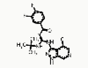 CC(C)(C)N/C(=N/C(=O)c1ccc(F)c(F)c1)Nc1n[nH]c2cncc(Cl)c12